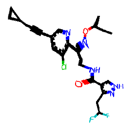 CC(C)O/N=C(/CNC(=O)c1c[nH]nc1CC(F)F)c1ncc(C#CC2CC2)cc1Cl